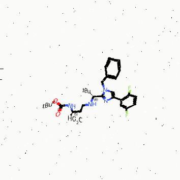 CC(C)(C)OC(=O)N[C@@H](CCN[C@@H](c1nc(-c2cc(F)ccc2F)cn1Cc1ccccc1)C(C)(C)C)C(=O)O